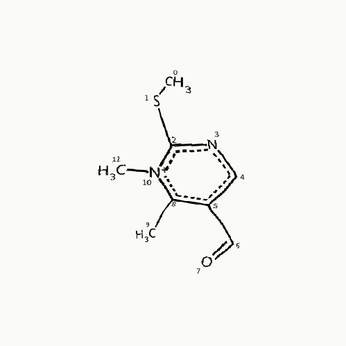 CSc1ncc(C=O)c(C)[n+]1C